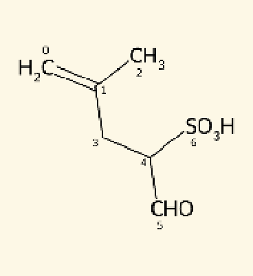 C=C(C)CC(C=O)S(=O)(=O)O